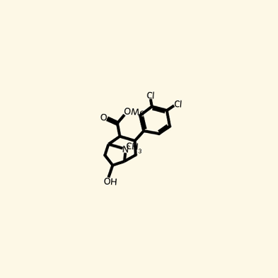 COC(=O)C1C(c2ccc(Cl)c(Cl)c2)CC2C(O)CC1N2C